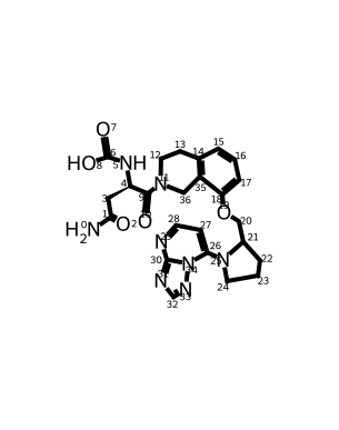 NC(=O)C[C@@H](NC(=O)O)C(=O)N1CCc2cccc(OCC3CCCN3c3ccnc4ncnn34)c2C1